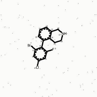 Fc1cc(Cl)cc(Br)c1-c1cccc2c1CCNC2